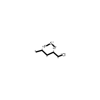 CCCCCCl.FSF